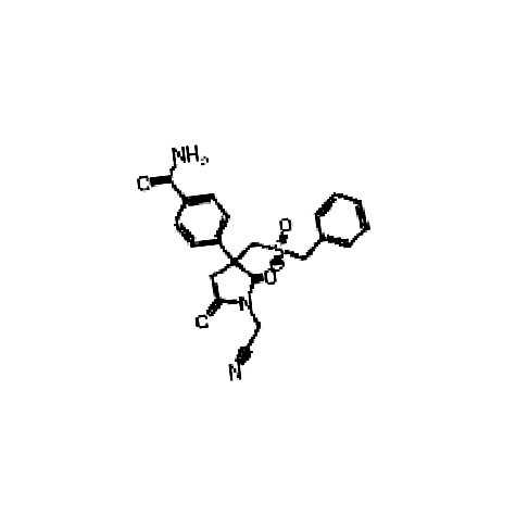 N#CCN1C(=O)CC(CS(=O)(=O)Cc2ccccc2)(c2ccc(C(N)=O)cc2)C1=O